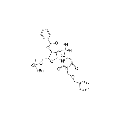 [2H]C([2H])([2H])O[C@@H]1[C@H](OC(=O)c2ccccc2)[C@@H](CO[Si](C)(C)C(C)(C)C)O[C@H]1n1ccc(=O)n(COCc2ccccc2)c1=O